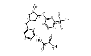 O=C(O)C(=O)O.OC1CN(Cc2ccccc2)CC1Oc1cccc(C(F)(F)F)c1